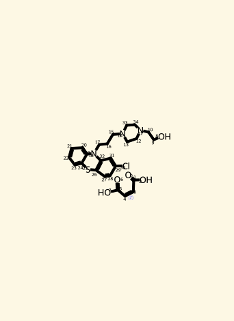 O=C(O)/C=C\C(=O)O.OCCN1CCN(CCCN2c3ccccc3Sc3ccc(Cl)cc32)CC1